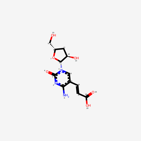 Nc1nc(=O)n([C@@H]2O[C@H](CO)C[C@H]2O)cc1/C=C/C(=O)O